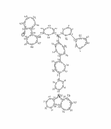 c1ccc(-c2cccc(N(c3ccc(-c4ccc(-c5ccc(-n6c7ccccc7c7ccccc76)cc5)cc4)cc3)c3cccc(-c4cccc5oc6ccccc6c45)c3)c2)cc1